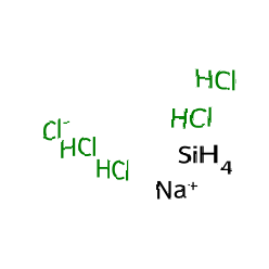 Cl.Cl.Cl.Cl.[Cl-].[Na+].[SiH4]